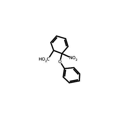 O=C(O)C1C=CC=CC1(Oc1ccccc1)[N+](=O)[O-]